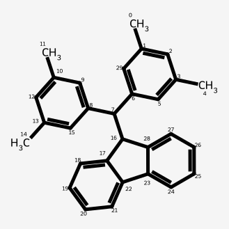 Cc1cc(C)cc(C(c2cc(C)cc(C)c2)C2c3ccccc3-c3ccccc32)c1